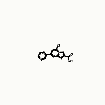 O=C(O)c1cn2c(Cl)cc(-c3cccnc3)cc2n1